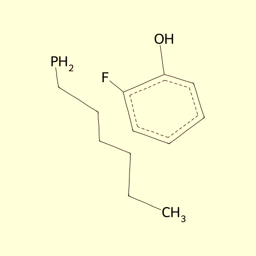 CCCCCCP.Oc1ccccc1F